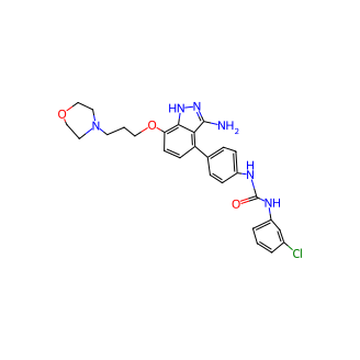 Nc1n[nH]c2c(OCCCN3CCOCC3)ccc(-c3ccc(NC(=O)Nc4cccc(Cl)c4)cc3)c12